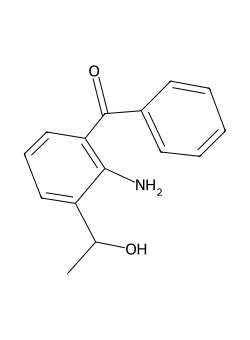 CC(O)c1cccc(C(=O)c2ccccc2)c1N